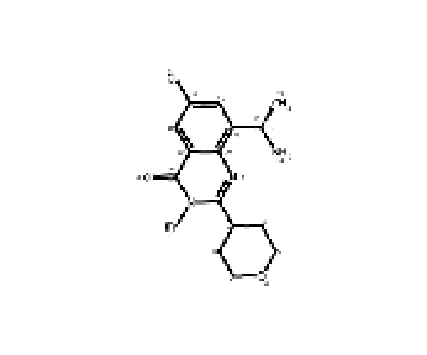 CC(C)n1c(C2CCOCC2)nc2c([C@@H](C)N)cc(Cl)cc2c1=O